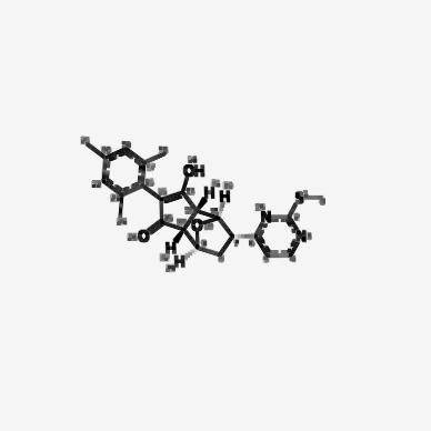 CSc1nccc([C@@H]2C[C@@H]3O[C@H]2[C@H]2C(O)=C(c4c(C)cc(C)cc4C)C(=O)[C@H]23)n1